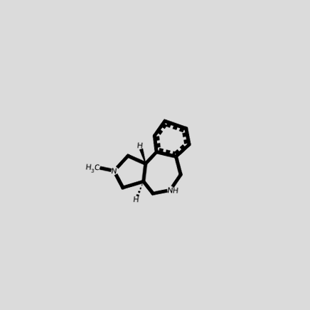 CN1C[C@@H]2CNCc3ccccc3[C@H]2C1